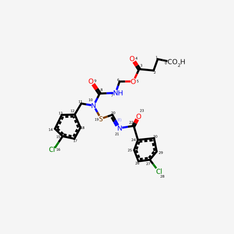 O=C(O)CCC(=O)OCNC(=O)N(Cc1ccc(Cl)cc1)S/C=N/C(=O)c1ccc(Cl)cc1